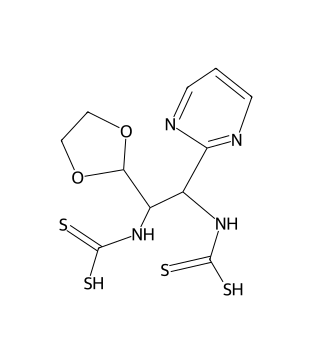 S=C(S)NC(c1ncccn1)C(NC(=S)S)C1OCCO1